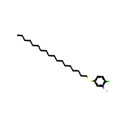 CCCCCCCCCCCCCCCCCCSc1ccc(Cl)c(N)c1